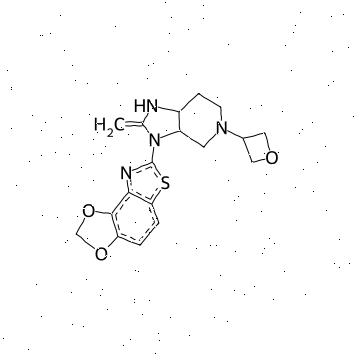 C=C1NC2CCN(C3COC3)CC2N1c1nc2c3c(ccc2s1)OCO3